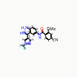 COc1cc(C#N)ccc1C(=O)Nc1ccc(N)c(C(=N)c2cnn(C(F)F)c2)c1